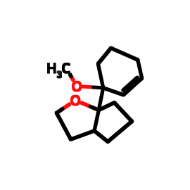 COC1(C23CCCC2CCO3)C=CCCC1